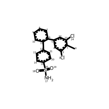 Cc1c(Cl)cc(-c2ccccc2-c2ccc(S(N)(=O)=O)cc2)cc1Cl